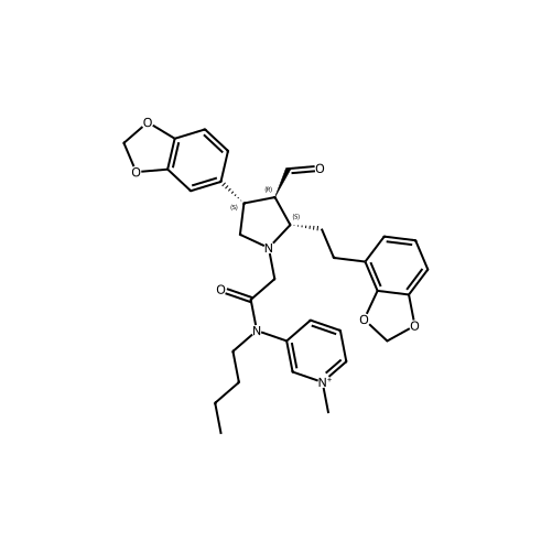 CCCCN(C(=O)CN1C[C@H](c2ccc3c(c2)OCO3)[C@@H](C=O)[C@@H]1CCc1cccc2c1OCO2)c1ccc[n+](C)c1